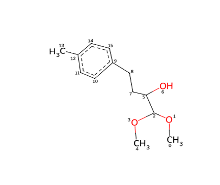 COC(OC)C(O)CCc1ccc(C)cc1